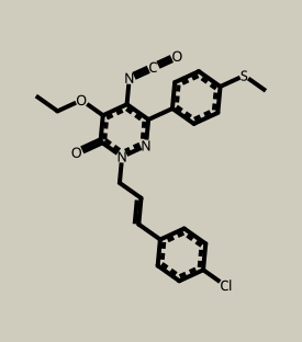 CCOc1c(N=C=O)c(-c2ccc(SC)cc2)nn(CC=Cc2ccc(Cl)cc2)c1=O